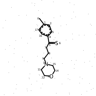 Cc1ccc(C(=S)CCCN2CCOCC2)cc1